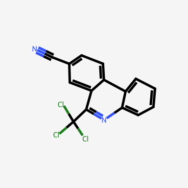 N#Cc1ccc2c(c1)c(C(Cl)(Cl)Cl)nc1ccccc12